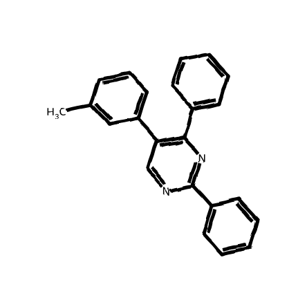 Cc1cccc(-c2cnc(-c3ccccc3)nc2-c2ccccc2)c1